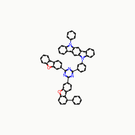 c1ccc(-c2cccc3oc4cc(-c5nc(-c6cccc(-n7c8ccccc8c8cc9c(cc87)c7ccccc7n9-c7ccccc7)c6)nc(-c6ccc7c(c6)oc6ccccc67)n5)ccc4c23)cc1